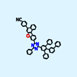 N#Cc1ccc(-c2cc3oc4cc(-c5nc(-c6ccccc6)nc(-c6cc(-c7ccccc7)c(-c7cccc(-c8ccccc8)c7)c(-c7ccccc7)c6)n5)ccc4c3c3ccccc23)cc1